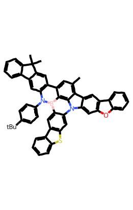 Cc1cc2c3c4c1c1cc5c(cc1n4-c1cc4sc6ccccc6c4cc1B3N(c1ccc(C(C)(C)C)cc1)c1cc3c(cc1-2)C(C)(C)c1ccccc1-3)oc1ccccc15